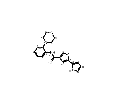 O=C(Nc1ccccc1N1CCSCC1)c1csc(-c2cccs2)n1